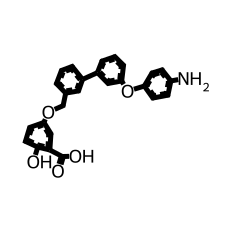 Nc1ccc(Oc2cccc(-c3cccc(COc4ccc(O)c(C(=O)O)c4)c3)c2)cc1